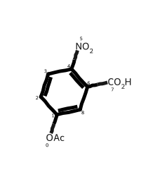 CC(=O)Oc1ccc([N+](=O)[O-])c(C(=O)O)c1